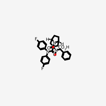 CN(Cc1ccccc1)C(=O)N1[C@H]2CC[C@@H]1[C@@H](C(=O)O)N(C(=O)N(c1ccc(F)cc1)c1ccc(F)cc1)C2